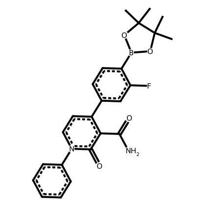 CC1(C)OB(c2ccc(-c3ccn(-c4ccccc4)c(=O)c3C(N)=O)cc2F)OC1(C)C